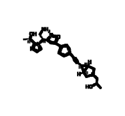 CC(O)CN1C[C@@H]2[C@H](C#Cc3ccc(-c4cc([C@@H](CN)n5ccnc5[C@H](C)O)no4)cc3)[C@@H]2C1